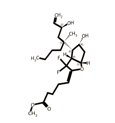 C=C[C@@H](O)C[C@](C)(CCCC)[C@H]1[C@@H]2[C@H](C[C@H]1O)OC(=CCCCC(=O)OC)C2(F)F